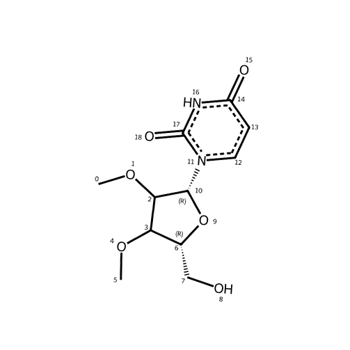 COC1C(OC)[C@@H](CO)O[C@H]1n1ccc(=O)[nH]c1=O